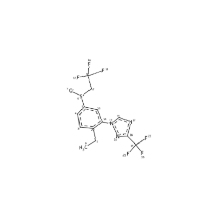 CCc1ccc([S+]([O-])CC(F)(F)F)cc1-n1cnc(C(F)(F)F)n1